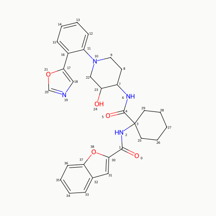 O=C(NC1(C(=O)NC2CCN(c3ccccc3-c3cnco3)CC2O)CCCCC1)c1cc2ccccc2o1